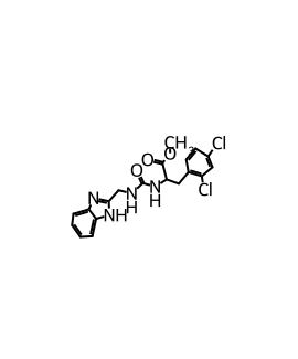 COC(=O)C(Cc1ccc(Cl)cc1Cl)NC(=O)NCc1nc2ccccc2[nH]1